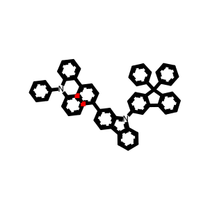 c1ccc(N(c2ccccc2)c2ccccc2-c2ccc(-c3ccc4c5ccccc5n(-c5ccc6c(c5)-c5ccccc5C6(c5ccccc5)c5ccccc5)c4c3)cc2)cc1